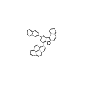 c1ccc2cc(-c3cc(-c4ccc5ccc6cccc7ccc4c5c67)c4oc5ccc6ccccc6c5c4c3)ccc2c1